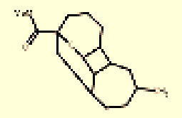 COC(=O)C12CCCC3C4CC(C)CCC(C1)C4C3C2